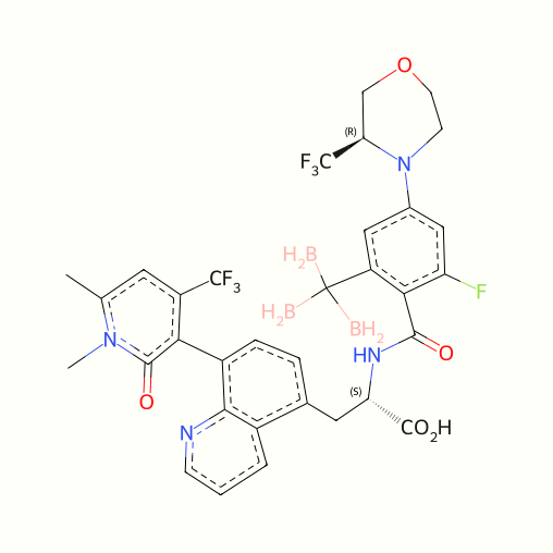 BC(B)(B)c1cc(N2CCOC[C@@H]2C(F)(F)F)cc(F)c1C(=O)N[C@@H](Cc1ccc(-c2c(C(F)(F)F)cc(C)n(C)c2=O)c2ncccc12)C(=O)O